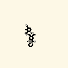 CNc1cc2c(NC(C)c3cccc(C#N)c3C)nnc(C)c2cc1C(=O)N1CCCCC1